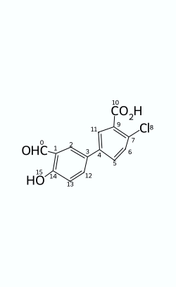 O=Cc1cc(-c2ccc(Cl)c(C(=O)O)c2)ccc1O